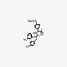 COSc1ccc(C(N[C@@H](C)[C@@H](Cc2ccc(Cl)cc2)c2cccc(C#N)c2)C(C)(C)C#N)cc1